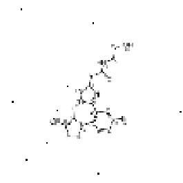 O=C(Cc1nc2n(n1)Cc1c(Cl)ncn1-c1ccc(Br)cc1-2)NCCO